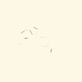 CC(C)(C)OC(=O)N1CCC(n2ccc3ccc(N=O)cc32)CC1